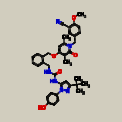 COc1ccc(Cn2c(C)cc(OCc3ccccc3CNC(=O)Nc3cc(C(C)(C)C)nn3-c3ccc(O)cc3)c(C)c2=O)cc1C#N